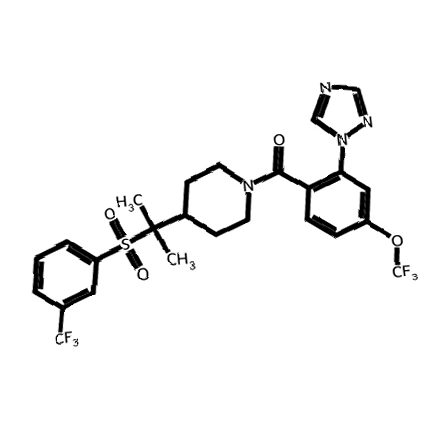 CC(C)(C1CCN(C(=O)c2ccc(OC(F)(F)F)cc2-n2cncn2)CC1)S(=O)(=O)c1cccc(C(F)(F)F)c1